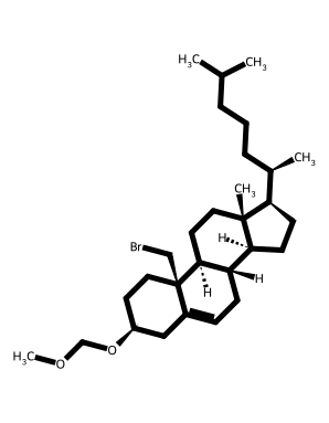 COCO[C@H]1CC[C@@]2(CBr)C(=CC[C@@H]3[C@@H]2CC[C@]2(C)[C@@H]([C@H](C)CCCC(C)C)CC[C@@H]32)C1